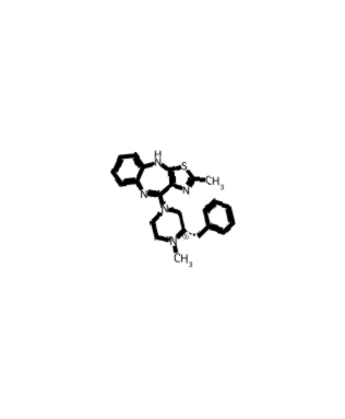 Cc1nc2c(s1)Nc1ccccc1N=C2N1CCN(C)[C@@H](Cc2ccccc2)C1